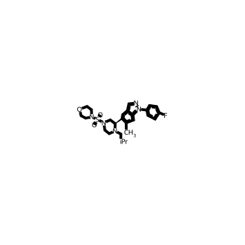 Cc1cc2c(cnn2-c2ccc(F)cc2)cc1[C@@H]1CN(S(=O)(=O)N2CCOCC2)CCN1CC(C)C